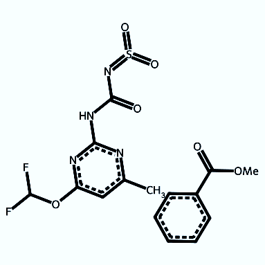 COC(=O)c1ccccc1.Cc1cc(OC(F)F)nc(NC(=O)N=S(=O)=O)n1